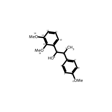 COc1ccc(C(C)C(O)c2cccc(OC)c2OC)cc1